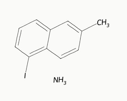 Cc1ccc2c(I)cccc2c1.N